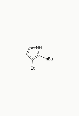 CCCCc1[nH]ccc1CC